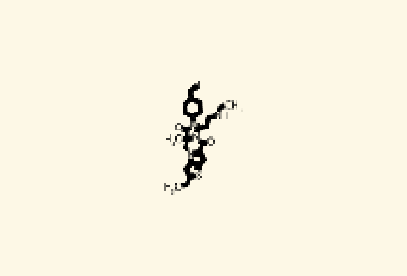 CCNCCCN1C(=O)c2cc3sc(CC)cc3n2CC1(C)C(=O)NC1CCC(CI)CC1